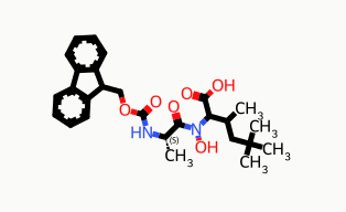 CC(CC(C)(C)C)C(C(=O)O)N(O)C(=O)[C@H](C)NC(=O)OCC1c2ccccc2-c2ccccc21